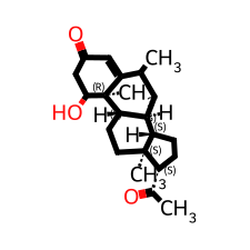 CC(=O)[C@H]1CC[C@H]2[C@@H]3CC(C)C4=CC(=O)CC(O)[C@]4(C)[C@H]3CC[C@]12C